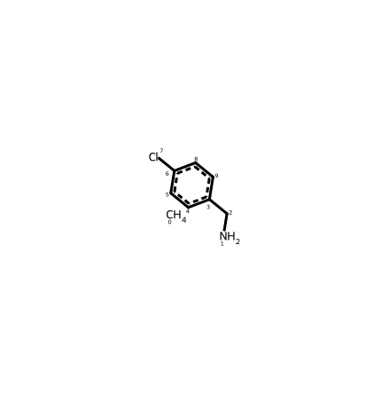 C.NCc1ccc(Cl)cc1